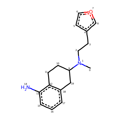 CN(CCc1ccoc1)C1CCc2c(N)cccc2C1